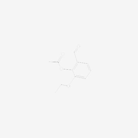 [CH2]C(=O)Oc1c(C=O)cccc1OCC